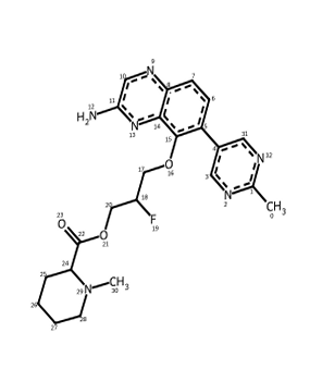 Cc1ncc(-c2ccc3ncc(N)nc3c2OCC(F)COC(=O)C2CCCCN2C)cn1